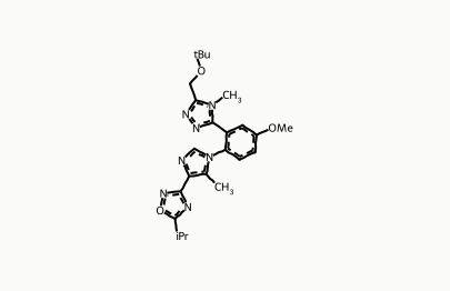 COc1ccc(-n2cnc(-c3noc(C(C)C)n3)c2C)c(-c2nnc(COC(C)(C)C)n2C)c1